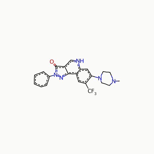 CN1CCN(c2cc3[nH]cc4c(=O)n(-c5ccccc5)nc-4c3cc2C(F)(F)F)CC1